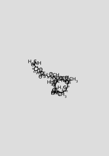 CNC(=O)C1CCC(CN2C(=O)CC(SCCC(=O)NC(C)C(=O)OC3CC(=O)N(C)c4cc(cc(C)c4Cl)C/C(C)=C/C=C/C(C)C4(O)CC(OC(=O)N4)C4OC34C)C2=O)CC1